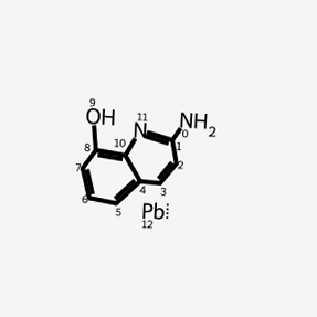 Nc1ccc2cccc(O)c2n1.[Pb]